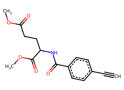 C#Cc1ccc(C(=O)NC(CCC(=O)OC)C(=O)OC)cc1